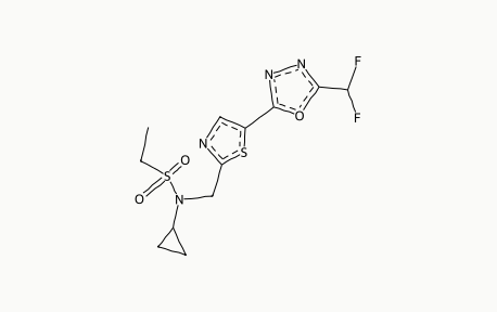 CCS(=O)(=O)N(Cc1ncc(-c2nnc(C(F)F)o2)s1)C1CC1